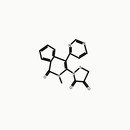 Cn1c(N2SCC(=O)C2=O)c(-c2ccncn2)c2ccccc2c1=O